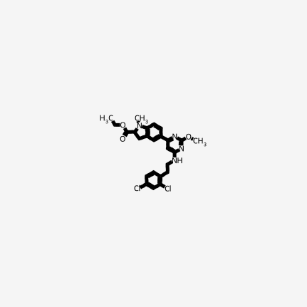 CCOC(=O)C1Cc2cc(-c3cc(NCCc4ccc(Cl)cc4Cl)nc(OC)n3)ccc2N1C